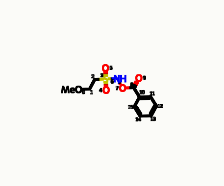 COCCS(=O)(=O)NOC(=O)c1ccccc1